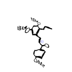 C=CCc1c(/C=C/C(=O)c2ccc(OC)cc2)cc(OC(C)(C)C)cc1OC(C)(C)C